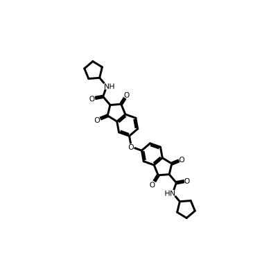 O=C(NC1CCCC1)C1C(=O)c2ccc(Oc3ccc4c(c3)C(=O)C(C(=O)NC3CCCC3)C4=O)cc2C1=O